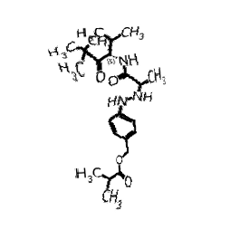 CC(C)C(=O)OCc1ccc(NNC(C)C(=O)N[C@H](C(=O)C(C)(C)C)C(C)C)cc1